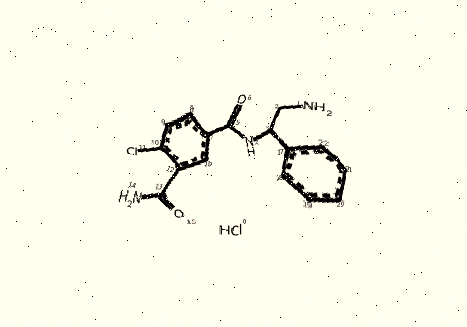 Cl.NCC(NC(=O)c1ccc(Cl)c(C(N)=O)c1)c1ccccc1